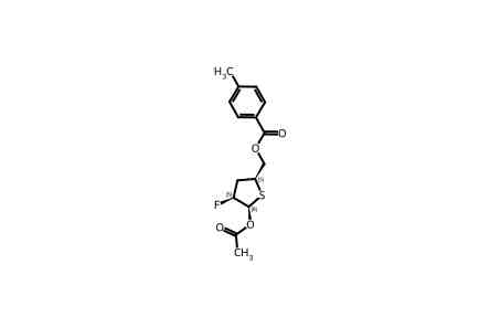 CC(=O)O[C@@H]1S[C@H](COC(=O)c2ccc(C)cc2)C[C@@H]1F